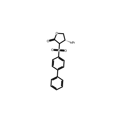 CCC[C@H]1COC(=O)C1S(=O)(=O)c1ccc(-c2ccccc2)cc1